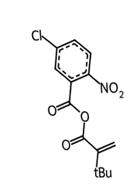 C=C(C(=O)OC(=O)c1cc(Cl)ccc1[N+](=O)[O-])C(C)(C)C